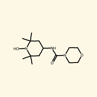 CC1(C)CC(NC(=O)N2CCOCC2)CC(C)(C)N1O